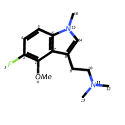 COc1c(F)ccc2c1c(CCN(C)C)cn2C